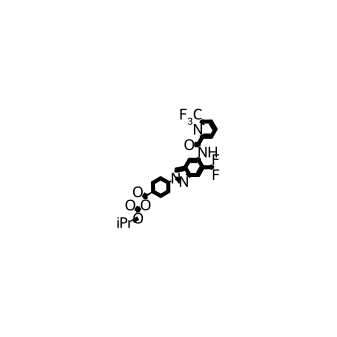 CC(C)OC(=O)OC(=O)[C@H]1CC[C@H](n2cc3cc(NC(=O)c4cccc(C(F)(F)F)n4)c(C(F)F)cc3n2)CC1